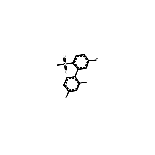 CS(=O)(=O)c1[c]cc(F)cc1-c1ccc(F)cc1F